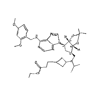 CCOC(=O)CCC1CC(N(C[C@H]2C[C@@H](n3cnc4c(NCc5ccc(OC)cc5OC)ncnc43)[C@@H]3OC(C)(C)O[C@H]23)C(C)C)C1